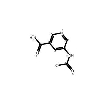 NC(=O)c1cncc(NC(=O)Cl)c1